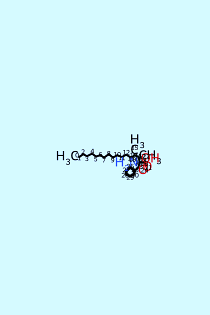 CCCCCCCCCCCCCCC(C)C(C)C(N)(C(=O)O)C(=O)c1ccccc1